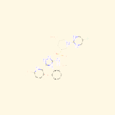 COc1cccc(-c2nnc(NS(=O)(=O)[C@H]3C[C@H](O)CN(c4ncc(F)cn4)C3)n2-c2c(OC)cccc2OC)n1